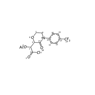 CC(=O)OC(C(=O)Cl)C1OCCN(c2ccc(C(F)(F)F)cc2)C1=O